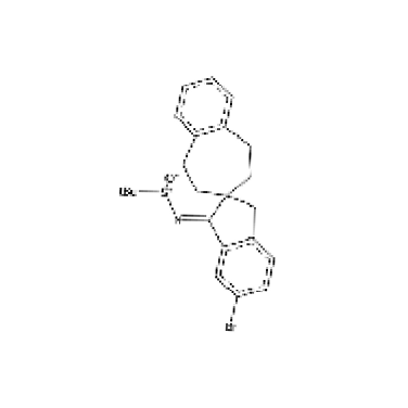 CC(C)(C)[S+]([O-])/N=C1/c2cc(Br)ccc2CC12CCc1ccccc1CC2